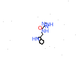 O=C(NCCc1c[nH]c2ccccc12)c1nc[nH]n1